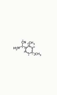 Cc1ccc(C(N)C#N)c(C)c1